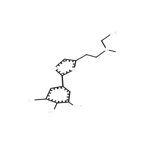 CN(CC#N)CCc1coc(-c2cc(C(C)(C)C)c(O)c(C(C)(C)C)c2)n1